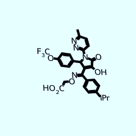 Cc1ccc(N2C(=O)C(O)=C(C(=NOCC(=O)O)c3ccc(C(C)C)cc3)C2c2ccc(OC(F)(F)F)cc2)nn1